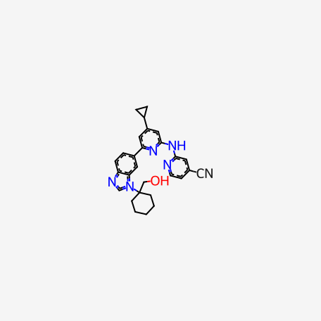 N#Cc1ccnc(Nc2cc(C3CC3)cc(-c3ccc4ncn(C5(CO)CCCCC5)c4c3)n2)c1